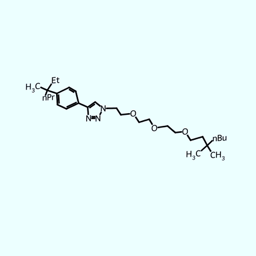 CCCCC(C)(C)CCOCCOCCOCCn1cc(-c2ccc(C(C)(CC)CCC)cc2)nn1